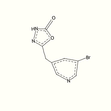 O=c1[nH]nc(Cc2cncc(Br)c2)o1